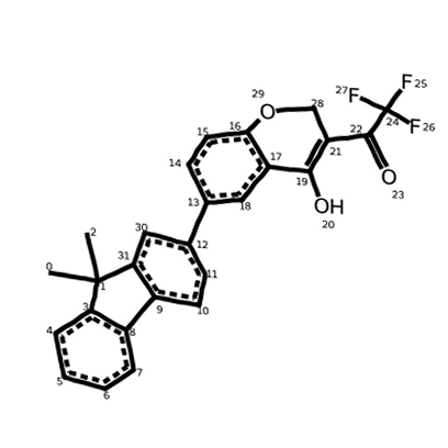 CC1(C)c2ccccc2-c2ccc(-c3ccc4c(c3)C(O)=C(C(=O)C(F)(F)F)CO4)cc21